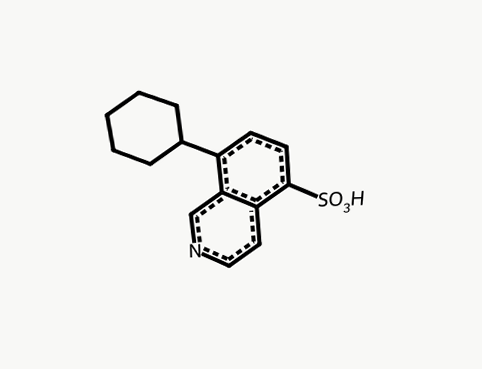 O=S(=O)(O)c1ccc(C2CCCCC2)c2cnccc12